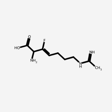 CC(=N)NCCC/C=C(\F)C(N)C(=O)O